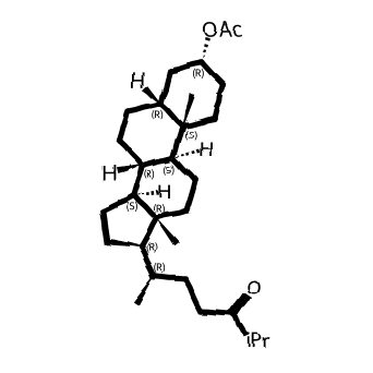 CC(=O)O[C@@H]1CC[C@@]2(C)[C@H](CC[C@@H]3[C@@H]2CC[C@]2(C)[C@@H]([C@H](C)CCC(=O)C(C)C)CC[C@@H]32)C1